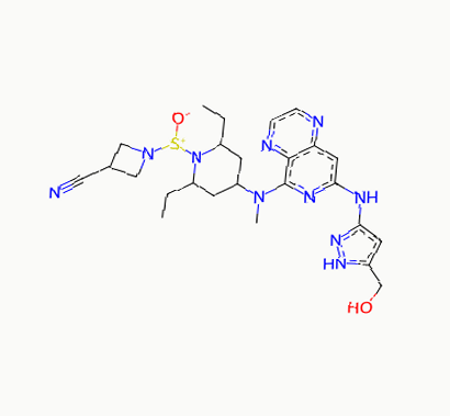 CCC1CC(N(C)c2nc(Nc3cc(CO)[nH]n3)cc3nccnc23)CC(CC)N1[S+]([O-])N1CC(C#N)C1